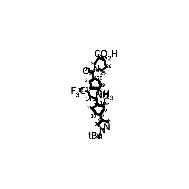 Cc1cc(-c2cnn(C(C)(C)C)c2)ccc1C(CCC(F)(F)F)Nc1ccc(C(=O)N2CCC[C@@H](C(=O)O)C2)cc1